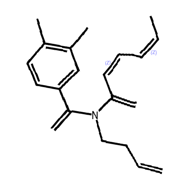 C=CCCN(C(=C)/C=C\C=C/C)C(=C)c1ccc(C)c(C)c1